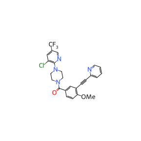 COc1ccc(C(=O)N2CCN(c3ncc(C(F)(F)F)cc3Cl)CC2)cc1C#Cc1ccccn1